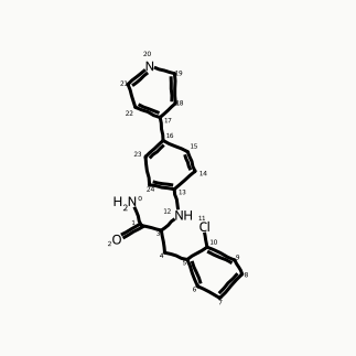 NC(=O)C(Cc1ccccc1Cl)Nc1ccc(-c2ccncc2)cc1